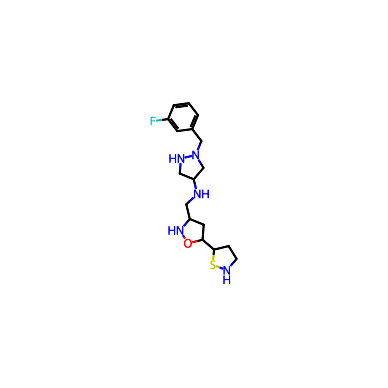 Fc1cccc(CN2CC(NCC3CC(C4CCNS4)ON3)CN2)c1